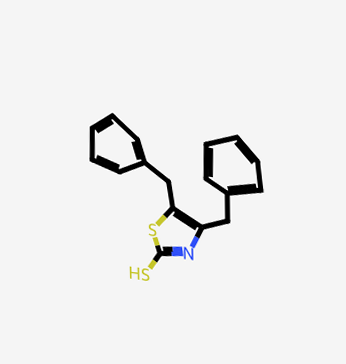 Sc1nc(Cc2ccccc2)c(Cc2ccccc2)s1